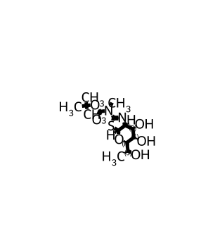 C[C@H](O)[C@H]1O[C@@H]2SC(N(C)C(=O)OC(C)(C)C)=N[C@@H]2[C@@H](O)[C@@H]1O